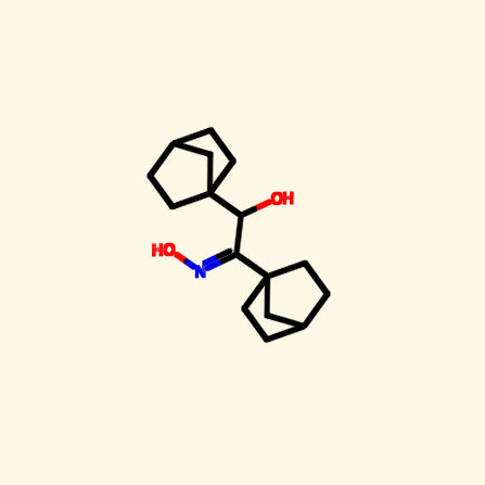 ON=C(C(O)C12CCC(CC1)C2)C12CCC(CC1)C2